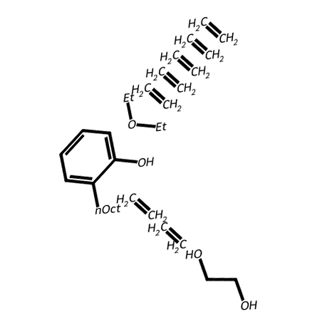 C=C.C=C.C=C.C=C.C=C.C=C.C=C.CCCCCCCCc1ccccc1O.CCOCC.OCCO